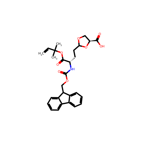 C=CC(C)(C)OC(=O)[C@H](CCC1OC[C@@H](C(=O)O)O1)NC(=O)OCC1c2ccccc2-c2ccccc21